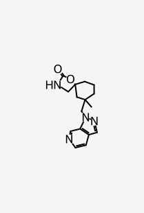 CC1(Cn2ncc3ccncc32)CCCC2(CNC(=O)O2)C1